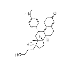 CN(C)c1ccc([C@H]2C[C@]3(C)[C@@H](CC[C@@]3(O)CCCO)[C@@H]3CCC4=CC(=O)CCC4=C32)cc1